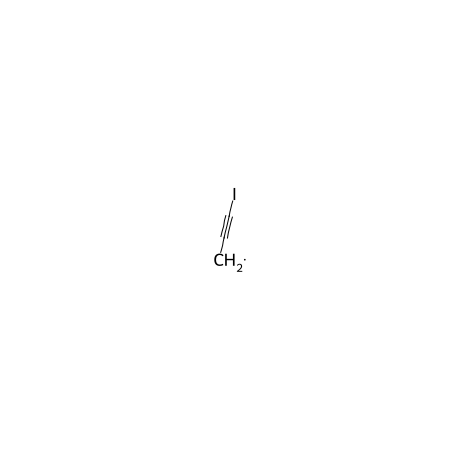 [CH2]C#CI